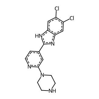 Clc1cc2nc(-c3ccnc(N4CCNCC4)c3)[nH]c2cc1Cl